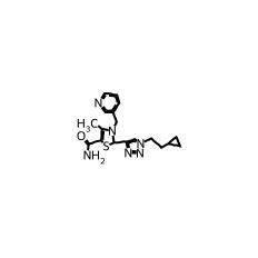 CC1=C(C(N)=O)SC(c2cn(CCC3CC3)nn2)N1Cc1cccnc1